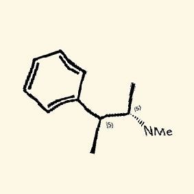 CN[C@@H](C)[C@@H](C)c1ccccc1